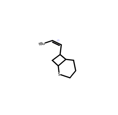 CC(C)(C)/C=C\C1CC2SCCCC12